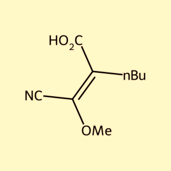 CCCCC(C(=O)O)=C(C#N)OC